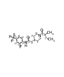 CC[C@H](C)C(=O)N1CCC(CC(=O)Nc2ccc(C(F)(F)F)cc2F)CC1